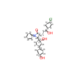 O=C1[C@H](CC[C@H](O)c2ccc(Cl)cc2)[C@@H](c2ccc(-c3ccc(O)cc3)cc2O)N1c1ccccc1